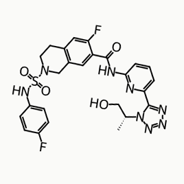 C[C@H](CO)n1nnnc1-c1cccc(NC(=O)c2cc3c(cc2F)CCN(S(=O)(=O)Nc2ccc(F)cc2)C3)n1